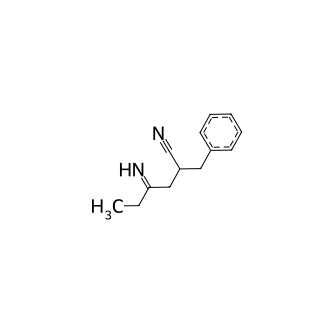 CCC(=N)CC(C#N)Cc1ccccc1